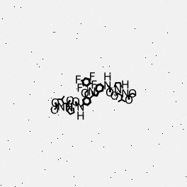 COC(=O)N[C@H](C(=O)N1CCC[C@H]1C(=O)Nc1ccc2c(c1)O[C@@H](c1c(F)c(F)cc(F)c1F)n1c-2cc2cc(NC(=O)[C@@H]3CCCN3C(=O)[C@@H](NC(=O)OC)C(C)C)ccc21)C(C)C